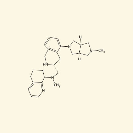 CN1C[C@@H]2CN(c3cccc4c3C[C@H](CN(C)C3CCCc5cccnc53)NC4)C[C@@H]2C1